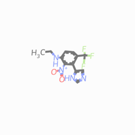 CCNc1ccc(C(F)(F)F)c(-c2cnc[nH]2)c1[N+](=O)[O-]